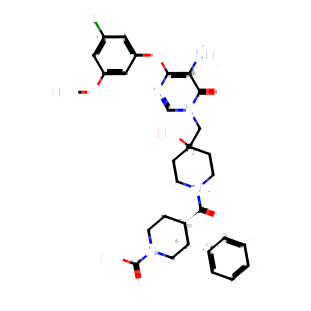 COc1cc(Cl)cc(Oc2ncn(CC3(O)CCN(C(=O)[C@@H]4CCN(C(=O)O)C[C@H]4c4ccccc4)CC3)c(=O)c2N)c1